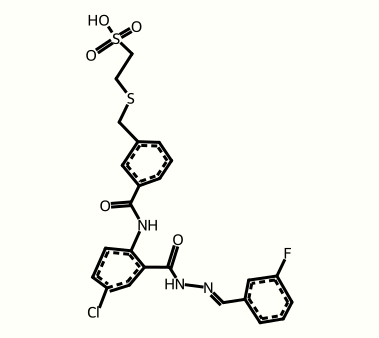 O=C(Nc1ccc(Cl)cc1C(=O)NN=Cc1cccc(F)c1)c1cccc(CSCCS(=O)(=O)O)c1